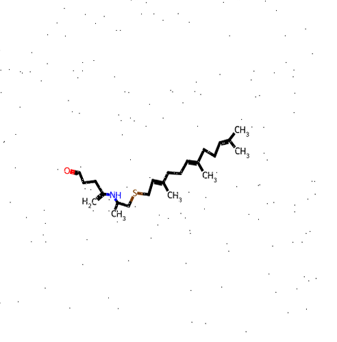 C=C(CCC=O)NC(C)CSC/C=C(\C)CC/C=C(\C)CCC=C(C)C